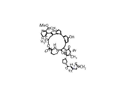 CC/C(=C\C(=O)N1CC[C@H](C(=O)N(C)[C@H](C(=O)N[C@H]2Cc3cc(O)cc(c3)-c3ccc4sc(-c5cccnc5[C@H](C)OC)c(c4c3)CC(C)(C)COC(=O)[C@@H]3CCCN(N3)C2=O)C(C)C)C1)CN(C)C